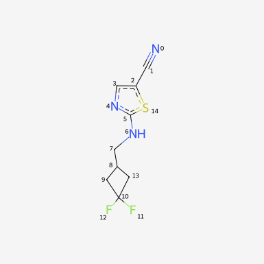 N#Cc1cnc(NCC2CC(F)(F)C2)s1